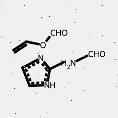 C=COC=O.Cc1ncc[nH]1.NC=O